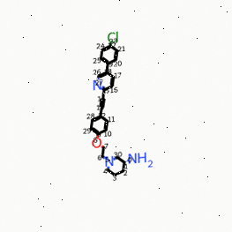 N[C@@H]1CCCN(CCOc2ccc(C#Cc3ccc(-c4ccc(Cl)cc4)cn3)cc2)C1